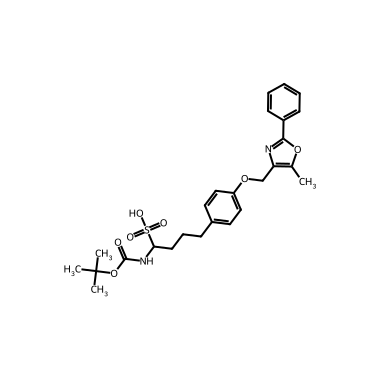 Cc1oc(-c2ccccc2)nc1COc1ccc(CCCC(NC(=O)OC(C)(C)C)S(=O)(=O)O)cc1